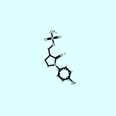 CS(=O)(=O)OCC1CCN(c2ccc(Br)cc2)C1=O